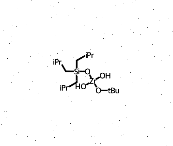 CC(C)C[Si](CC(C)C)(CC(C)C)[O][Zr]([OH])([OH])[O]C(C)(C)C